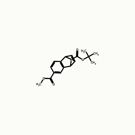 COC(=O)c1ccc2c(c1)C1C=CC2N1C(=O)OC(C)(C)C